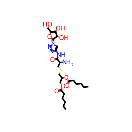 CCCCCC(=O)OCC(CSCC(N)C(=O)Nc1cn([C@H]2OC(CO)[C@@H](O)[C@@H]2O)nn1)OC(=O)CCCCC